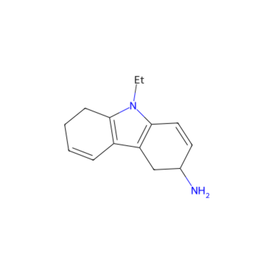 CCn1c2c(c3c1CCC=C3)CC(N)C=C2